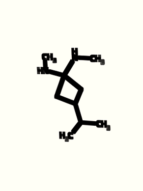 CNC1(NC)CC(C(C)C)C1